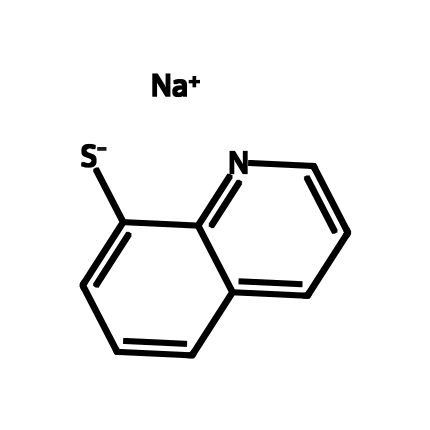 [Na+].[S-]c1cccc2cccnc12